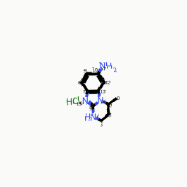 CC1CCNc2nc3ccc(N)cc3n21.Cl